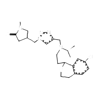 C[C@H]1C[C@@]2(CCN1Cc1cn(CC3CC(=O)N(C)C3)nn1)OCCc1ccc(Cl)cc12